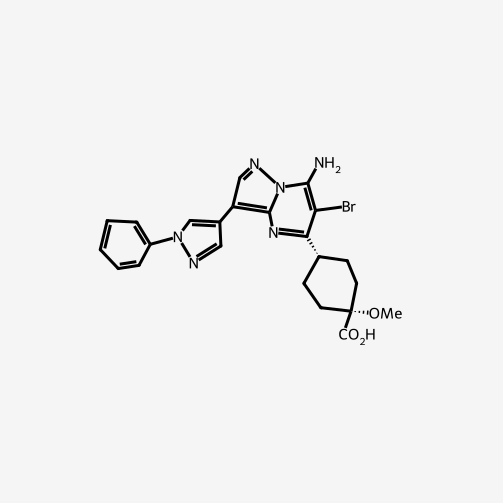 CO[C@]1(C(=O)O)CC[C@H](c2nc3c(-c4cnn(-c5ccccc5)c4)cnn3c(N)c2Br)CC1